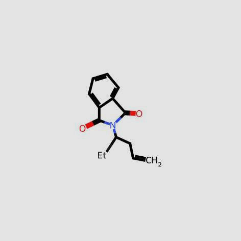 C=CCC(CC)N1C(=O)c2ccccc2C1=O